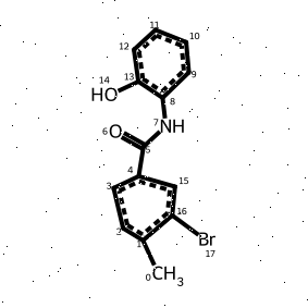 Cc1ccc(C(=O)Nc2ccccc2O)cc1Br